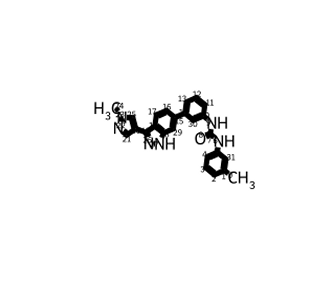 Cc1cccc(NC(=O)Nc2cccc(-c3ccc4c(-c5cnn(C)c5)n[nH]c4c3)c2)c1